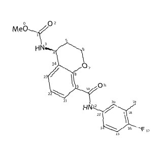 COC(=O)N[C@H]1CCOc2c(C(=O)Nc3ccc(F)c(C)c3)cccc21